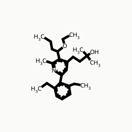 CCCC(OCC)c1c(CCC(C)(C)O)cc(-c2c(CC)cccc2CC)nc1C